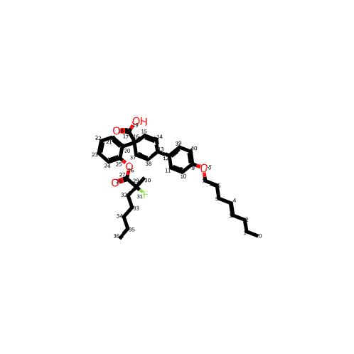 CCCCCCCCOc1ccc(C2C=CC(C(=O)O)(c3ccccc3OC(=O)C(C)(F)CCCCC)C=C2)cc1